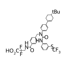 CC(C)(C)C1CC=C(c2ccc(N(Cc3ccc(C(=O)NCC(F)(F)C(=O)O)cc3)C(=O)Nc3cccc(SC(F)(F)F)c3)cc2)CC1